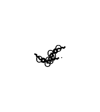 [CH2]CCC[C](OOC(=O)c1ccc(OCCCC)cc1)OOC(=O)c1ccc(OCCCC)cc1